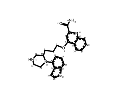 NC(=O)c1cc(OCCCC2CNCCN2c2cccc3sccc23)c2ccccc2n1